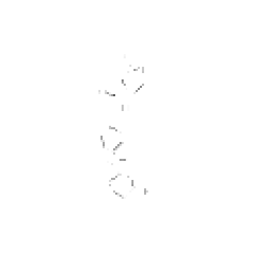 O=C(NCc1ccc(S(=O)(=O)c2cccc(C(F)(F)F)c2)cc1)c1ccnc(C(F)(F)F)c1